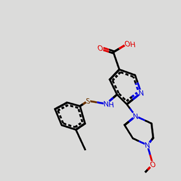 CON1CCN(c2ncc(C(=O)O)cc2NSc2cccc(C)c2)CC1